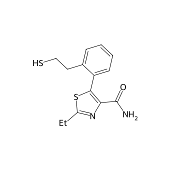 CCc1nc(C(N)=O)c(-c2ccccc2CCS)s1